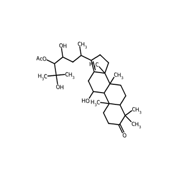 CC(=O)OC(C(O)CC(C)C1=C2CC(O)C3C4(C)CCC(=O)C(C)(C)C4CCC3(C)C2(C)CC1)C(C)(C)O